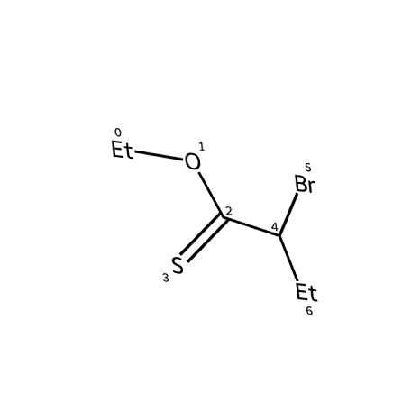 CCOC(=S)C(Br)CC